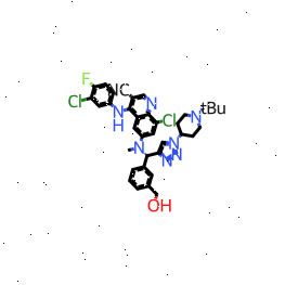 CN(c1cc(Cl)c2ncc(C#N)c(Nc3ccc(F)c(Cl)c3)c2c1)[C@@H](c1cccc(CO)c1)c1cn(C2CCN(C(C)(C)C)CC2)nn1